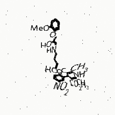 COc1ccccc1OCC(O)CNCCCCOc1ccc([N+](=O)[O-])cc1C1C(C(=O)O)=C(C)NC(C)=C1C(=O)O